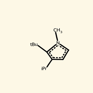 CC(C)c1ccn(C)c1C(C)(C)C